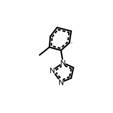 Cc1ccc[c]c1-n1ccnn1